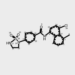 Cc1cccc2c(NC(=O)c3ccc(N4CCNS4(=O)=O)cc3)ccc(Cl)c12